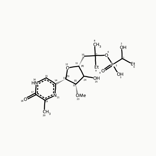 CCC(O)P(=O)(O)OC(C)(CC)C[C@H]1O[C@@H](c2c[nH]c(=O)c(C)n2)[C@@H](OC)C1O